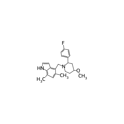 COC1CCN(Cc2c(C)cc(C)c3[nH]ccc23)C(c2ccc(F)cc2)C1